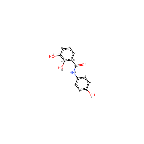 O=C(Nc1ccc(O)cc1)c1cccc(O)c1O